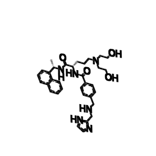 C[C@H](NC(=O)[C@H](CCCN(CCO)CCO)NC(=O)c1ccc(CNCc2ncc[nH]2)cc1)c1cccc2ccccc12